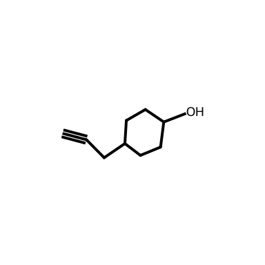 C#CCC1CCC(O)CC1